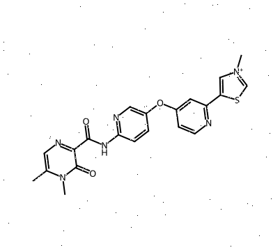 Cc1cnc(C(=O)Nc2ccc(Oc3ccnc(-c4c[n+](C)cs4)c3)cn2)c(=O)n1C